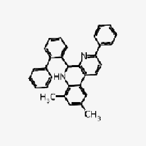 Cc1cc(C)c2c(c1)-c1ccc(-c3ccccc3)nc1C(c1ccccc1-c1ccccc1)N2